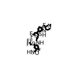 CNC(=O)c1cc(OCC(F)(F)F)c(NCC#Cc2sc3c(NC4CCN(C)CC4(F)F)cccc3c2CC(F)(F)F)cc1F